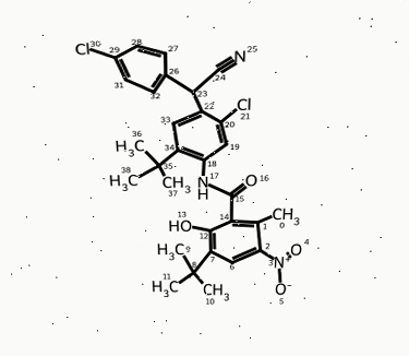 Cc1c([N+](=O)[O-])cc(C(C)(C)C)c(O)c1C(=O)Nc1cc(Cl)c(C(C#N)c2ccc(Cl)cc2)cc1C(C)(C)C